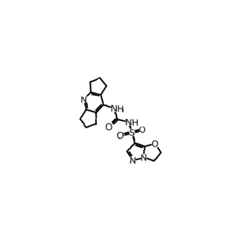 O=C(Nc1c2c(nc3c1CCC3)CCC2)NS(=O)(=O)c1cnn2c1OCC2